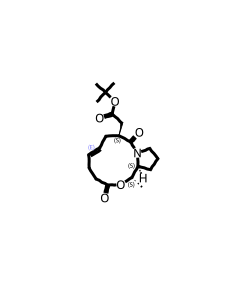 C[C@@H]1OC(=O)CC/C=C/C[C@@H](CC(=O)OC(C)(C)C)C(=O)N2CCC[C@@H]12